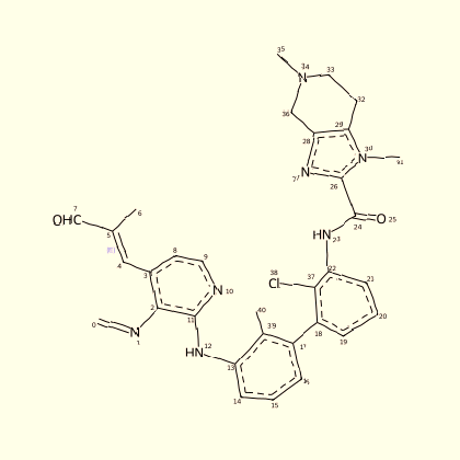 C=Nc1c(/C=C(\C)C=O)ccnc1Nc1cccc(-c2cccc(NC(=O)c3nc4c(n3C)CCN(C)C4)c2Cl)c1C